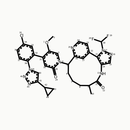 COc1cn(C2CCCC(C)C(=O)Nc3cnn(C(F)F)c3-c3ccnc2c3)c(=O)cc1-c1cc(Cl)ccc1-n1cc(C2CC2)nn1